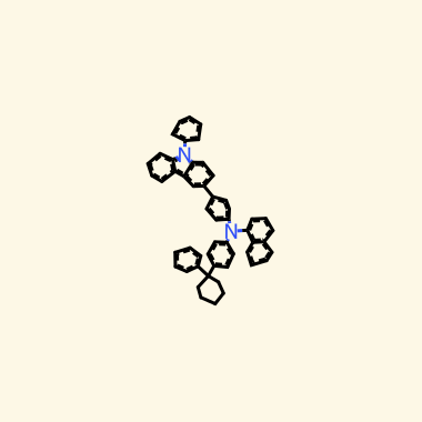 c1ccc(-n2c3ccccc3c3cc(-c4ccc(N(c5ccc(C6(c7ccccc7)CCCCC6)cc5)c5cccc6ccccc56)cc4)ccc32)cc1